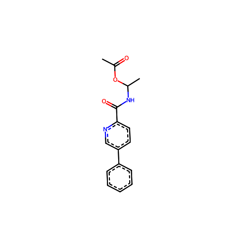 CC(=O)OC(C)NC(=O)c1ccc(-c2ccccc2)cn1